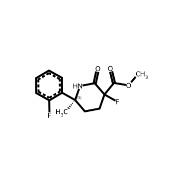 COC(=O)C1(F)CC[C@@](C)(c2ccccc2F)NC1=O